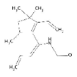 C=C/C=C(/NC=O)C1=C(C=C)C(C)(C)CC1C